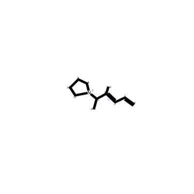 C=C/C=C(\C)C(C)N1CCCC1